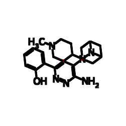 CN1CCC(CN2C3CC2CN(c2cc(-c4ccccc4O)nnc2N)C3)CC1